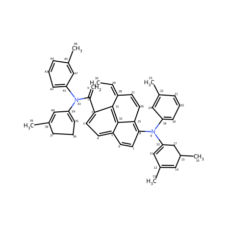 C=C(c1ccc2ccc(N(C3=CC(C)=CC(C)C3)c3cccc(C)c3)c3cc/c(=C/C)c1c23)N(C1=CCCC(C)=C1)c1cccc(C)c1